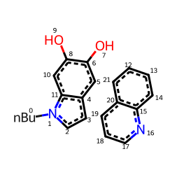 CCCCn1ccc2cc(O)c(O)cc21.c1ccc2ncccc2c1